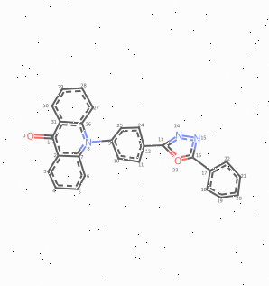 O=c1c2ccccc2n(-c2ccc(-c3nnc(-c4ccccc4)o3)cc2)c2ccccc12